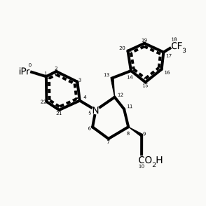 CC(C)c1ccc(N2CC[C@H](CC(=O)O)C[C@@H]2Cc2ccc(C(F)(F)F)cc2)cc1